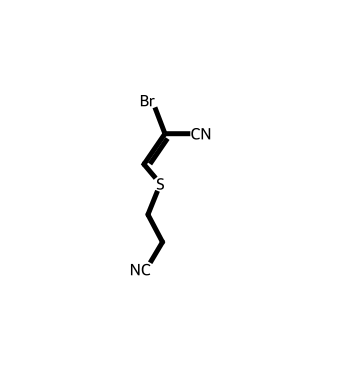 N#CCCS/C=C(/Br)C#N